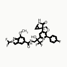 COc1cc(C(=O)NCC(O)(c2cc3c(c(-c4ccc(F)cc4)n2)OC[C@@]32C(=O)NC3CC32)C(F)(F)F)cc2cn(C(F)F)nc12